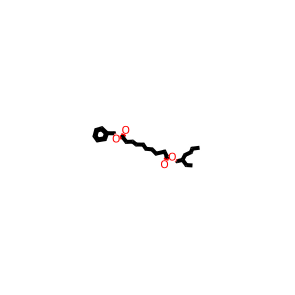 CCCCC(CC)COC(=O)CCCCCCCCC(=O)OCc1ccccc1